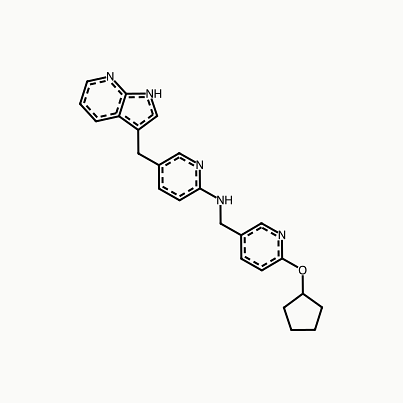 c1cnc2[nH]cc(Cc3ccc(NCc4ccc(OC5CCCC5)nc4)nc3)c2c1